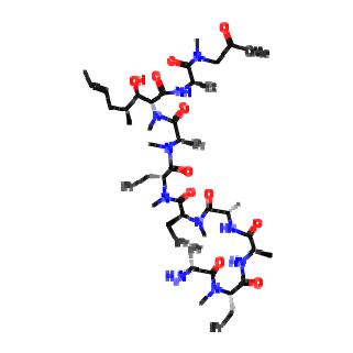 C/C=C/C[C@H](C)[C@@H](O)[C@H](C(=O)N[C@H](CC)C(=O)N(C)CC(=O)OC)N(C)C(=O)[C@@H](C(C)C)N(C)C(=O)[C@@H](CC(C)C)N(C)C(=O)[C@H](CC(C)C)N(C)C(=O)[C@H](C)NC(=O)[C@@H](C)NC(=O)[C@H](CC(C)C)N(C)C(=O)[C@H](N)C(C)C